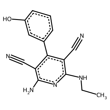 CCNc1nc(N)c(C#N)c(-c2cccc(O)c2)c1C#N